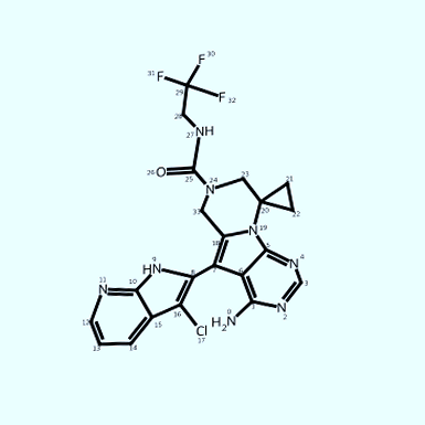 Nc1ncnc2c1c(-c1[nH]c3ncccc3c1Cl)c1n2C2(CC2)CN(C(=O)NCC(F)(F)F)C1